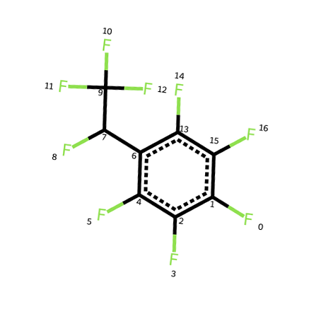 Fc1c(F)c(F)c(C(F)C(F)(F)F)c(F)c1F